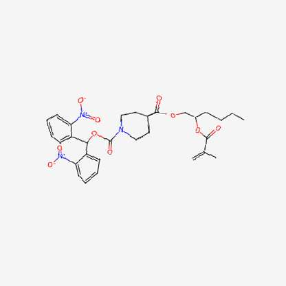 C=C(C)C(=O)OC(CCCC)COC(=O)C1CCN(C(=O)OC(c2ccccc2[N+](=O)[O-])c2ccccc2[N+](=O)[O-])CC1